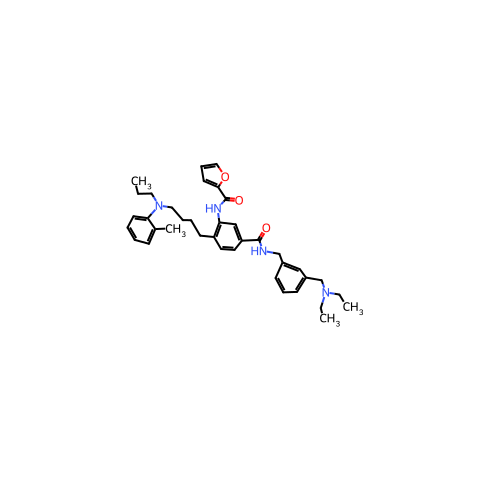 CCCN(CCCCc1ccc(C(=O)NCc2cccc(CN(CC)CC)c2)cc1NC(=O)c1ccco1)c1ccccc1C